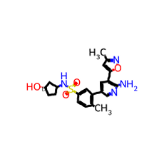 Cc1cc(-c2cc(-c3cc(S(=O)(=O)NC4CC[C@H](O)C4)ccc3C)cnc2N)on1